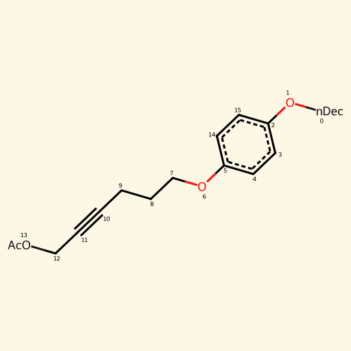 CCCCCCCCCCOc1ccc(OCCCC#CCOC(C)=O)cc1